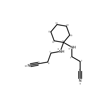 N#CCCNC1(NCCC#N)CCCCC1